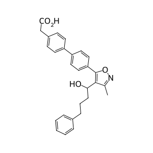 Cc1noc(-c2ccc(-c3ccc(CC(=O)O)cc3)cc2)c1C(O)CCCc1ccccc1